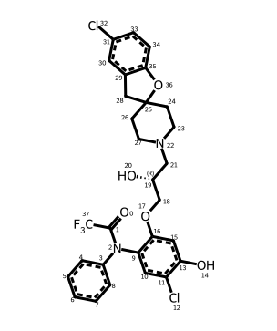 O=C(N(c1ccccc1)c1cc(Cl)c(O)cc1OC[C@H](O)CN1CCC2(CC1)Cc1cc(Cl)ccc1O2)C(F)(F)F